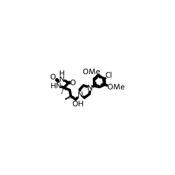 COc1cc(N2CCN(C(O)[C@@H](C)C[C@@]3(C)NC(=O)NC3=O)CC2)cc(OC)c1Cl